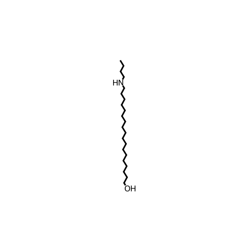 CCCCNCCCCCCCCCCCCCCCCCCO